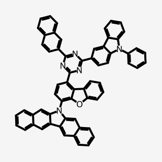 c1ccc(-n2c3ccccc3c3cc(-c4nc(-c5ccc6ccccc6c5)nc(-c5ccc(-n6c7cc8ccccc8cc7c7cc8ccccc8cc76)c6oc7ccccc7c56)n4)ccc32)cc1